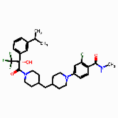 CNC(=O)c1ccc(N2CCC(CC3CCN(C(=O)[C@](O)(c4cccc(C(C)C)c4)C(F)(F)F)CC3)CC2)cc1Cl